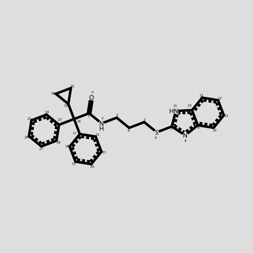 O=C(NCCCSc1nc2ccccc2[nH]1)C(c1ccccc1)(c1ccccc1)C1CC1